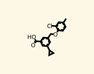 Cc1ccc(OCc2cc(C(=O)O)cc(C3CC3)c2)c(Cl)c1